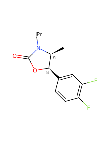 CC(C)N1C(=O)O[C@H](c2ccc(F)c(F)c2)[C@@H]1C